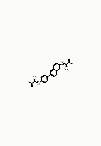 C=C(C)C(=O)Sc1ccc(-c2ccc3cc(SC(=O)C(=C)C)ccc3c2)cc1